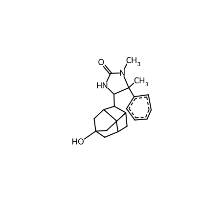 CN1C(=O)NC(C2C3CC4CC2CC(O)(C4)C3)C1(C)c1ccccc1